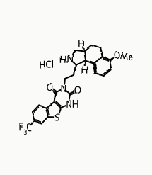 COc1cccc2c1CC[C@H]1CNC(CCn3c(=O)[nH]c4sc5cc(C(F)(F)F)ccc5c4c3=O)[C@@H]21.Cl